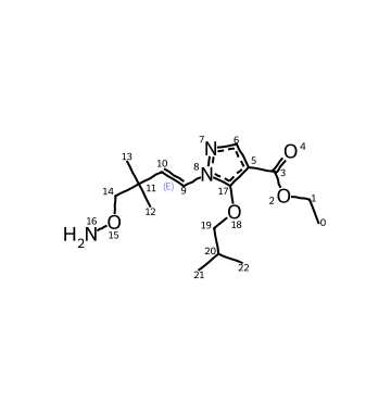 CCOC(=O)c1cnn(/C=C/C(C)(C)CON)c1OCC(C)C